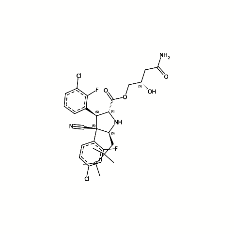 CC(C)C(C)(C)C[C@@H]1N[C@@H](C(=O)OC[C@@H](O)CC(N)=O)[C@H](c2cccc(Cl)c2F)[C@@]1(C#N)c1ccc(Cl)cc1F